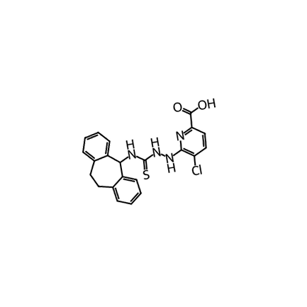 O=C(O)c1ccc(Cl)c(NNC(=S)NC2c3ccccc3CCc3ccccc32)n1